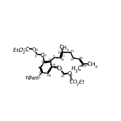 CCCCCc1cc(OCOC(=O)OCC)c(C/C=C(\C)CCC=C(C)C)c(OCOC(=O)OCC)c1